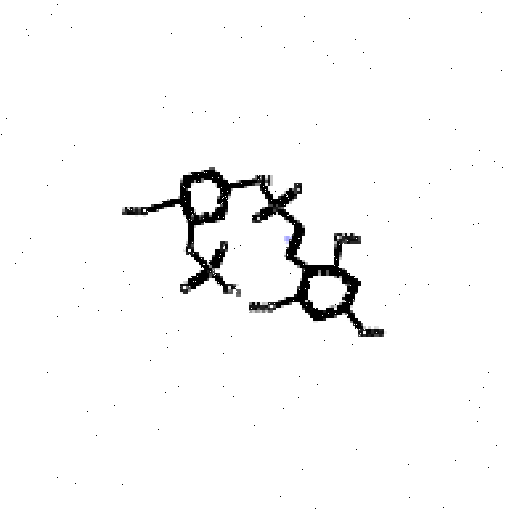 COc1cc(OC)c(/C=C/S(=O)(=O)Nc2ccc(OC)c(OS(=O)(=O)C(F)(F)F)c2)c(OC)c1